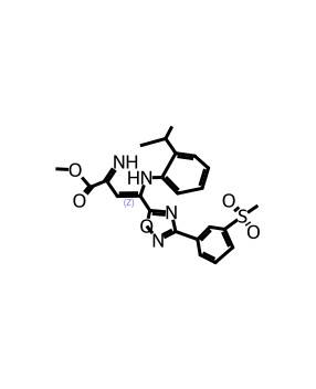 COC(=O)C(=N)/C=C(\Nc1ccccc1C(C)C)c1nc(-c2cccc(S(C)(=O)=O)c2)no1